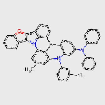 Cc1cc2c3c(c1)-n1c4c(cccc4c4oc5ccccc5c41)B3c1ccc(N(c3ccccc3)c3ccccc3)cc1N2c1cccc(C(C)(C)C)c1